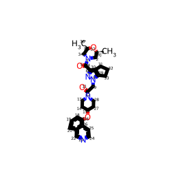 C[C@@H]1CN(C(=O)c2nn(CC(=O)N3CCC(Oc4cccc5cnccc45)CC3)c3c2CCC3)C[C@H](C)O1